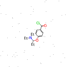 CCC(Oc1ccc(C(=O)Cl)cc1)N(CC)CC